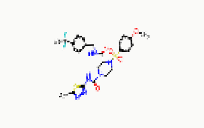 CCC(F)(F)c1ccc(CNC(=O)[C@H]2CN(C(=O)Nc3nnc(C(C)=O)s3)CCN2S(=O)(=O)c2ccc(OC(F)(F)F)cc2)cc1